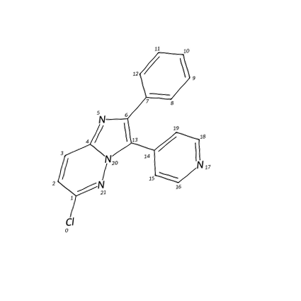 Clc1ccc2nc(-c3ccccc3)c(-c3ccncc3)n2n1